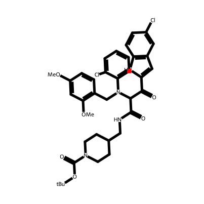 COc1ccc(CN(c2ccccc2Cl)C(C(=O)NCC2CCN(C(=O)OC(C)(C)C)CC2)C(=O)c2cc3cc(Cl)ccc3[nH]2)c(OC)c1